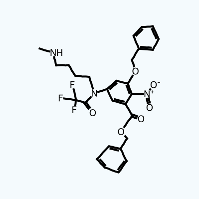 CNCCCCN(C(=O)C(F)(F)F)c1cc(OCc2ccccc2)c([N+](=O)[O-])c(C(=O)OCc2ccccc2)c1